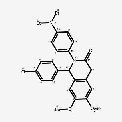 CCC(C)Oc1cc2c(cc1OC)CC(=O)N(c1ccc(N(CC)CC)cc1)C2c1ccc(Cl)cc1